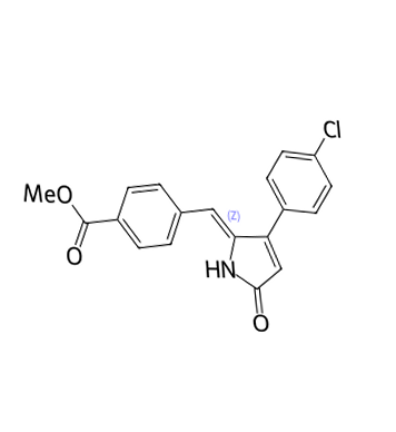 COC(=O)c1ccc(/C=C2\NC(=O)C=C2c2ccc(Cl)cc2)cc1